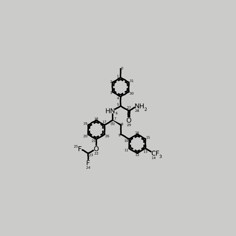 Cc1ccc(C(N[C@@H](CCc2ccc(C(F)(F)F)cc2)c2cccc(OC(F)F)c2)C(N)=O)cc1